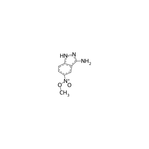 CO[N+](=O)c1ccc2[nH]nc(N)c2c1